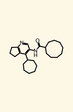 O=C(Nc1cnc2c(c1C1CCCCCC1)CCC2)C1CCCCCCCC1